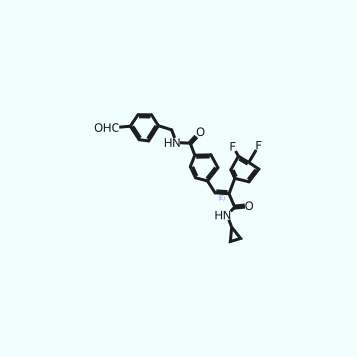 O=Cc1ccc(CNC(=O)c2ccc(/C=C(/C(=O)NC3CC3)c3ccc(F)c(F)c3)cc2)cc1